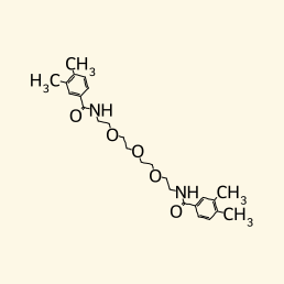 Cc1ccc(C(=O)NCCOCCOCCOCCNC(=O)c2ccc(C)c(C)c2)cc1C